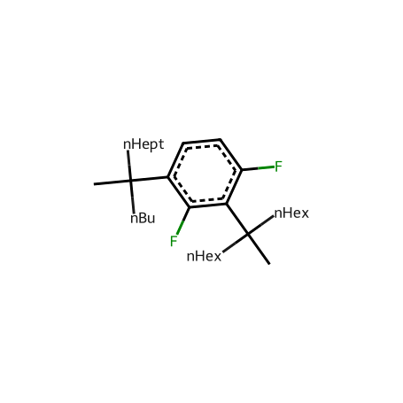 CCCCCCCC(C)(CCCC)c1ccc(F)c(C(C)(CCCCCC)CCCCCC)c1F